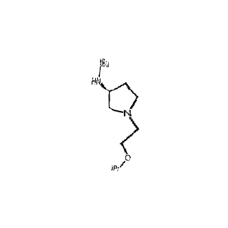 CC(C)OCCN1CC[C@H](NC(C)(C)C)C1